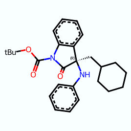 CC(C)(C)OC(=O)N1C(=O)[C@](CC2CCCCC2)(Nc2ccccc2)c2ccccc21